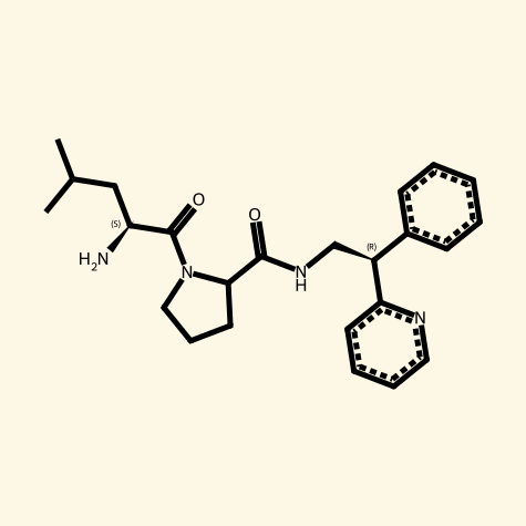 CC(C)C[C@H](N)C(=O)N1CCCC1C(=O)NC[C@@H](c1ccccc1)c1ccccn1